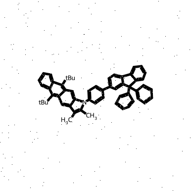 Cc1c(C)n(-c2ccc(-c3ccc4c(c3)C(c3ccccc3)(c3ccccc3)c3ccccc3-4)cc2)c2cc3c(C(C)(C)C)c4ccccc4c(C(C)(C)C)c3cc12